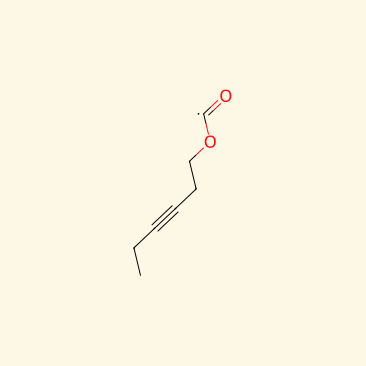 CCC#CCCO[C]=O